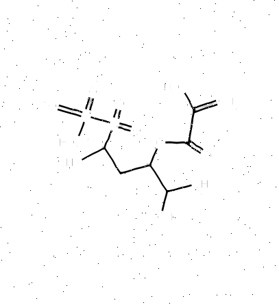 C=C(C)C(=O)OC(CC(S)S(=O)(=O)S(C)(=O)=O)C(C)C